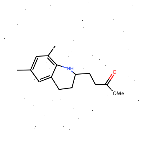 COC(=O)CCC1CCc2cc(C)cc(C)c2N1